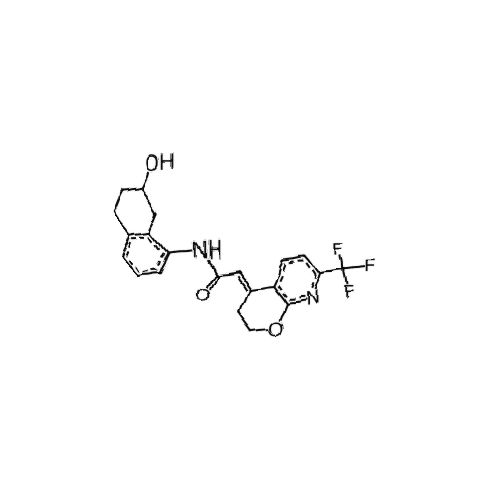 O=C(C=C1CCOc2nc(C(F)(F)F)ccc21)Nc1cccc2c1CC(O)CC2